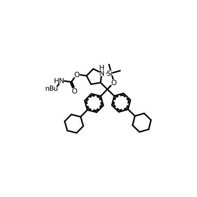 CCCCNC(=O)OC1CNC(C(O[Si](C)(C)C)(c2ccc(C3CCCCC3)cc2)c2ccc(C3CCCCC3)cc2)C1